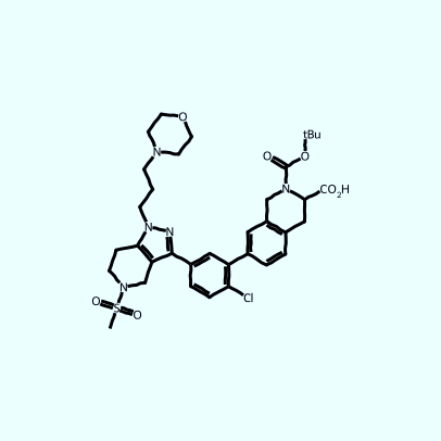 CC(C)(C)OC(=O)N1Cc2cc(-c3cc(-c4nn(CCCN5CCOCC5)c5c4CN(S(C)(=O)=O)CC5)ccc3Cl)ccc2CC1C(=O)O